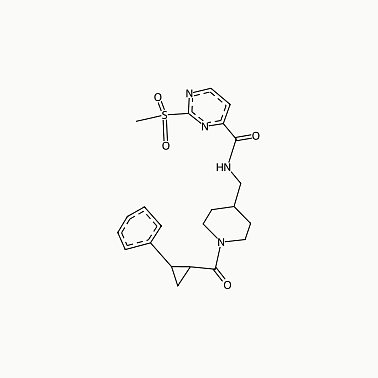 CS(=O)(=O)c1nccc(C(=O)NCC2CCN(C(=O)C3CC3c3ccccc3)CC2)n1